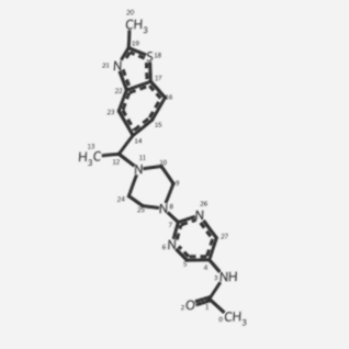 CC(=O)Nc1cnc(N2CCN(C(C)c3ccc4sc(C)nc4c3)CC2)nc1